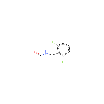 O=CNCc1c(F)cccc1F